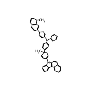 CC1CC=Cc2ccc(C3C=CC(N(c4ccccc4)c4ccc(C5(C)C=CC(n6c7ccccc7c7c8ccccc8ccc76)=CC5)cc4)=CC3)cc21